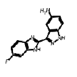 Nc1ccc2[nH]nc(-c3nc4ccc(F)cc4[nH]3)c2c1